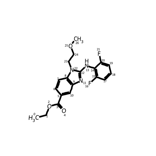 CCOC(=O)c1ccc2c(c1)nc(Nc1c(F)cccc1F)n2CCOC